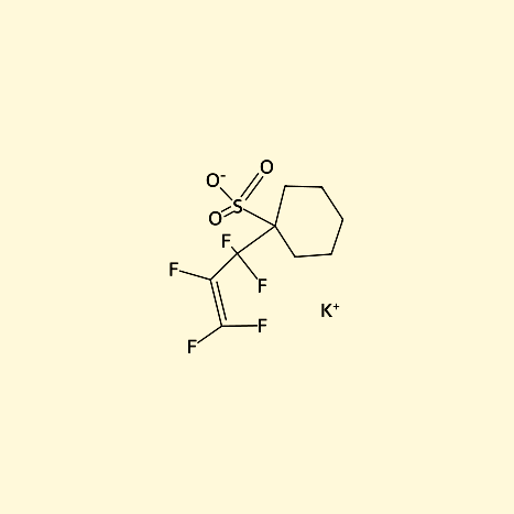 O=S(=O)([O-])C1(C(F)(F)C(F)=C(F)F)CCCCC1.[K+]